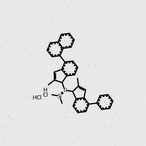 CC1=Cc2c(-c3ccccc3)cccc2[CH]1[Ti]([CH]1C(C)=Cc2c(-c3cccc4ccccc34)cccc21)=[Si](C)C.Cl.Cl